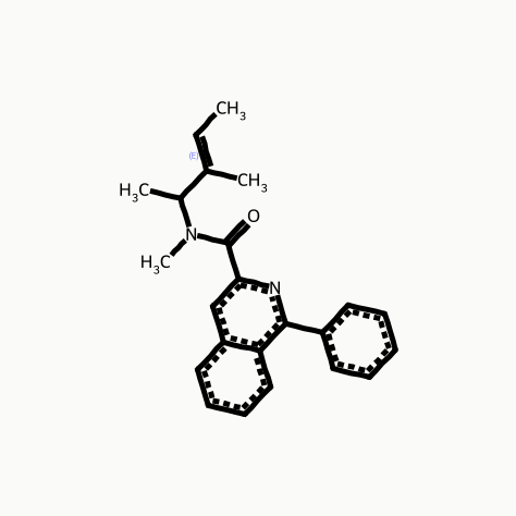 C/C=C(\C)C(C)N(C)C(=O)c1cc2ccccc2c(-c2ccccc2)n1